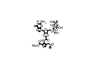 COC(=O)c1scc(C[SH](=O)=O)c1NC(=O)C1OC2C(COP(=O)(O)OP(=O)(O)OP(=O)(O)O)OC(n3cnc4c(=S)[nH]c(N)nc43)C2O1